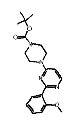 COc1ccccc1-c1nccc(N2CCN(C(=O)OC(C)(C)C)CC2)n1